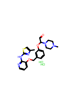 Cc1csc(Nc2ncccc2OCc2cccc(OC(C=O)N3CCN(C)CC3)c2)n1.Cl.Cl